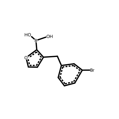 OB(O)c1occc1Cc1cccc(Br)c1